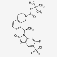 C[C@H](c1cccc2c1CN(C(=O)OC(C)(C)C)CC2)n1c(=O)oc2cc(S(=O)(=O)Cl)c(F)cc21